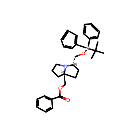 CC(C)(C)[Si](OC[C@@H]1CC[C@]2(COC(=O)c3ccccc3)CCCN12)(c1ccccc1)c1ccccc1